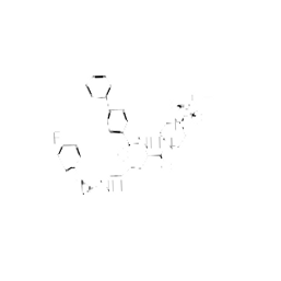 CS(=O)(=O)N1CCN(C(=O)C(CCCCN[C@@H]2C[C@H]2c2ccc(F)cc2)NC(=O)c2ccc(-c3ccccc3)cc2)CC1